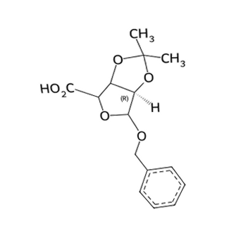 CC1(C)OC2C(C(=O)O)OC(OCc3ccccc3)[C@@H]2O1